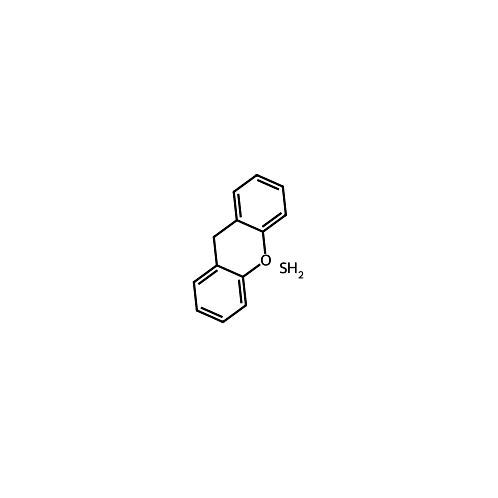 S.c1ccc2c(c1)Cc1ccccc1O2